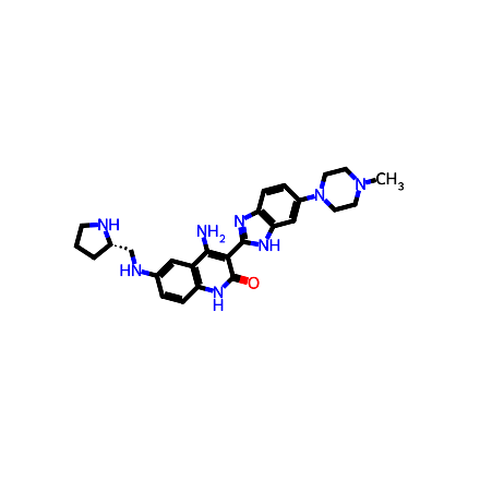 CN1CCN(c2ccc3nc(-c4c(N)c5cc(NC[C@@H]6CCCN6)ccc5[nH]c4=O)[nH]c3c2)CC1